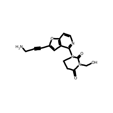 NCC#Cc1cc2c(N3CCC(=O)N(CO)C3=O)nccc2o1